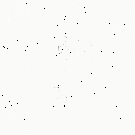 CCc1nn(CCCCOC(=O)c2cscn2)c2c1C(=O)NCC1(CCOCC1)C2